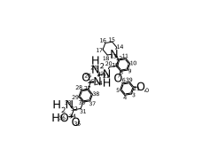 COc1cccc(Oc2cccc(N3CCCCC3)c2CN/C(N)=N/C(=O)c2ccc(C[C@H](N)C(=O)O)cc2)c1